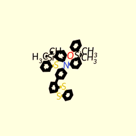 C[Si]1(C)c2ccccc2Oc2c(N(c3ccc(-c4cccc5c4Sc4ccccc4S5)cc3)c3cccc4c3Sc3ccccc3[Si]4(C)C)cccc21